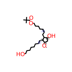 CO[C@H]1C[C@@H](O)C(C/C=C\CCCCOC(=O)C(C)(C)C)[C@@H]1/C=C/CCCCCCO